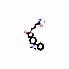 CN(C)C1(c2ccccc2)CCC2(CC1)CC(=O)N(CCCC(N)=O)C2